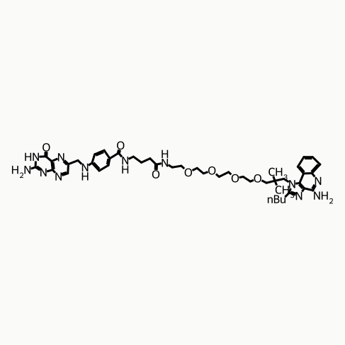 CCCCc1nc2c(N)nc3ccccc3c2n1CC(C)(C)COCCOCCOCCOCCNC(=O)CCCNC(=O)c1ccc(NCc2cnc3nc(N)[nH]c(=O)c3n2)cc1